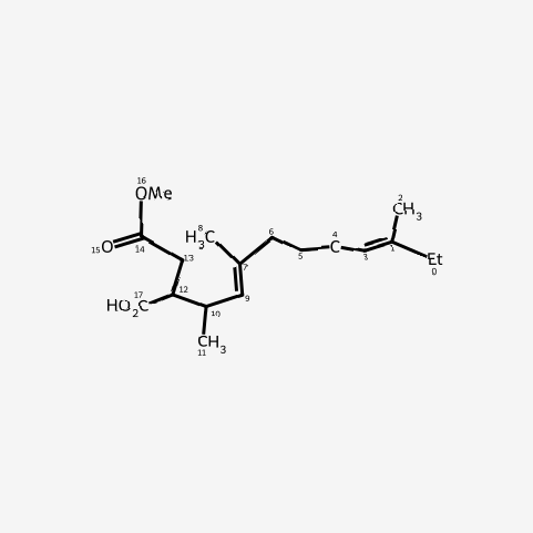 CCC(C)=CCCCC(C)=CC(C)C(CC(=O)OC)C(=O)O